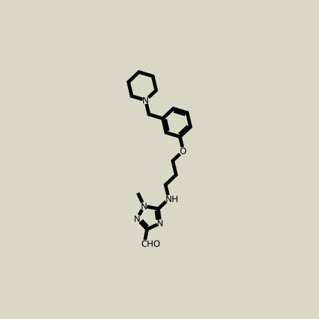 Cn1nc(C=O)nc1NCCCOc1cccc(CN2CCCCC2)c1